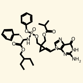 CCC(CC)COC(=O)[C@H](Cc1ccccc1)NP(=O)(OCC1(COC(=O)C(C)C)C/C1=C/n1cnc2c(=O)[nH]c(N)nc21)Oc1ccccc1